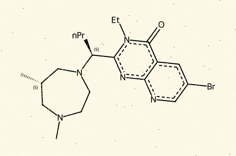 CCC[C@@H](c1nc2ncc(Br)cc2c(=O)n1CC)N1CCN(C)C[C@H](C)C1